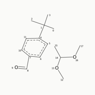 CC(C)(C)c1ccc(C=O)cc1.COC(C)OC